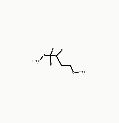 O=C(O)OCCC(F)C(F)(F)OC(=O)O